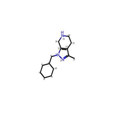 Cc1nn(CC2CCCCC2)c2c1CCNC2